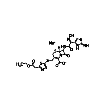 CCOC(=O)Cc1nnc(SCC2=C(C(=O)[O-])N3C(=O)C(NC(=O)C(=NO)c4csc(=N)[nH]4)[C@@H]3SC2)s1.[Na+]